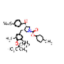 CSc1ccc(C(=O)[C@@H]2CN(C(=O)OC3CCC(C)CC3)C[C@H]2Cc2cc(C)c(OC(C)(C)C(=O)O)c(C)c2)cc1